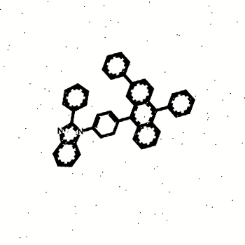 C1=C(c2c3ccccc3c(-c3ccccc3)c3ccc(-c4ccccc4)cc23)CCC(n2c(-c3ccccc3)nc3ccccc32)=C1